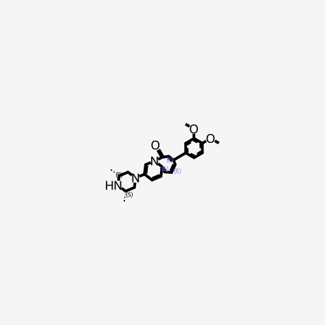 COc1ccc(C2=C\C(=O)N3C=C(N4C[C@@H](C)N[C@@H](C)C4)C=C\C3=C/C=C/2)cc1OC